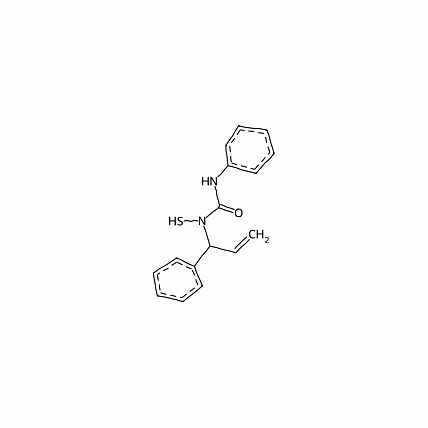 C=CC(c1ccccc1)N(S)C(=O)Nc1ccccc1